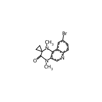 CN1C(=O)C2(CC2)N(C)c2c1cnc1ccc(Br)cc21